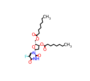 CCCCCCCC(=O)OC[C@H]1O[C@@H](n2cc(F)c(=O)[nH]c2=O)C[C@@H]1OC(=O)CCCCCCC